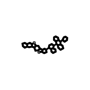 c1ccc(-c2c3ccccc3c(-c3ccc(-c4ccc5oc6cc7c(cc6c5c4)oc4cc5ccccc5cc47)c4ccccc34)c3ccccc23)cc1